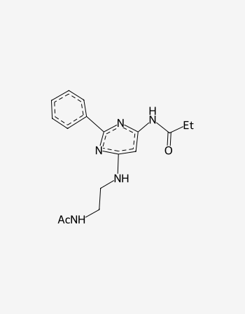 CCC(=O)Nc1cc(NCCNC(C)=O)nc(-c2ccccc2)n1